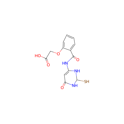 O=C(O)COc1ccccc1C(=O)NC1=CC(=O)NC(S)N1